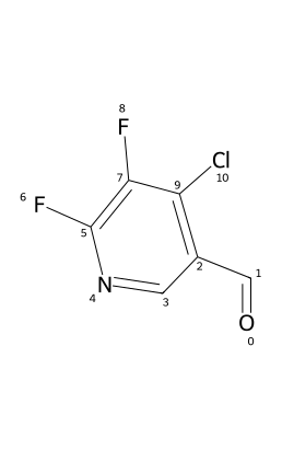 O=Cc1cnc(F)c(F)c1Cl